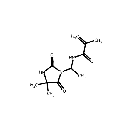 C=C(C)C(=O)NC(C)N1C(=O)NC(C)(C)C1=O